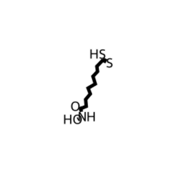 O=C(CCCCCCCCC(=S)S)NO